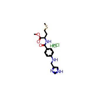 COC(=O)C(CCSC)NC(=O)c1ccc(NCc2c[nH]cn2)cc1.Cl.Cl